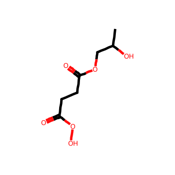 CC(O)COC(=O)CCC(=O)OO